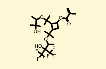 C=C(C)C(=O)OC1CC(C(C)(C)OC(C)C(O)(C(F)(F)F)C(F)(F)F)C1C(C)(C)OC(C)C(C)(C)O